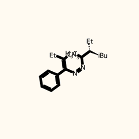 CC/C(C)=C(/N=N\C(C)[C@H](CC)[C@H](C)CC)c1ccccc1